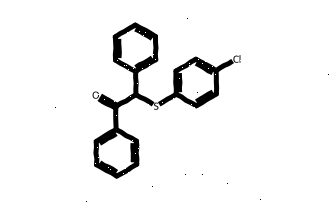 O=C(c1ccccc1)C(Sc1ccc(Cl)cc1)c1ccccc1